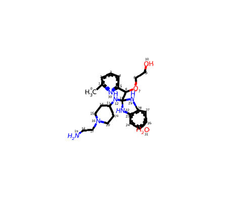 Cc1cccc(C(OCCO)C2(NC3CCN(CCN)CC3)Nc3ccccc3N2)n1.O